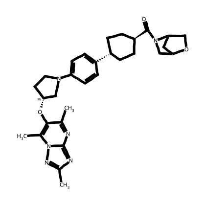 Cc1nc2nc(C)c(O[C@@H]3CCN(c4ccc([C@H]5CC[C@H](C(=O)N6CC7CC6CO7)CC5)cc4)C3)c(C)n2n1